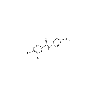 Cc1ccc(NC(=O)c2ccc(Cl)c(Cl)c2)cc1